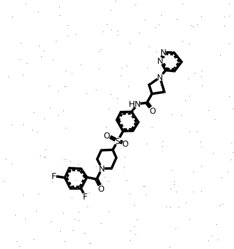 O=C(Nc1ccc(S(=O)(=O)C2CCN(C(=O)c3ccc(F)cc3F)CC2)cc1)C1CN(c2cccnn2)C1